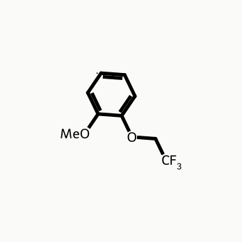 COc1c[c]ccc1OCC(F)(F)F